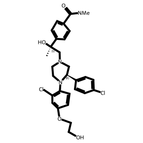 CNC(=O)c1ccc([C@](C)(O)CN2CCN(c3ccc(OCCO)cc3Cl)[C@H](c3ccc(Cl)cc3)C2)cc1